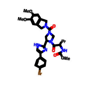 COC(=O)NC(C(=O)N1CN(C(=O)N2Cc3cc(OC)c(OC)cc3C2)CC1c1nc(-c2ccc(Br)cc2)c[nH]1)C(C)C